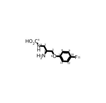 NC(CNC(=O)O)COc1ccc(F)cc1